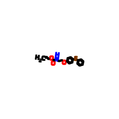 C=CCOC(=O)NCCOc1ccc(Sc2ccccc2)cc1